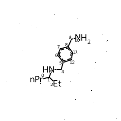 CCCC(CC)NCc1ccc(CN)cc1